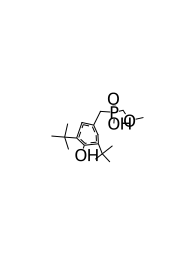 COCP(=O)(O)Cc1cc(C(C)(C)C)c(O)c(C(C)(C)C)c1